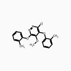 COc1c(Oc2ccccc2C)nnc(Cl)c1Oc1ccccc1C